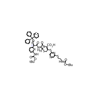 CC(C)(C)OC(=O)NCCSc1cncc(SC2=C(C(=O)O)N3C(=O)[C@@H](NC(=O)/C(=N\OC(c4ccccc4)(c4ccccc4)c4ccccc4)c4cccc(NC(=O)OC(C)(C)C)n4)[C@@H]3SC2)n1